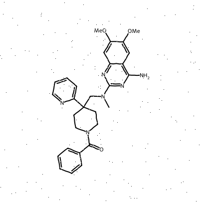 COc1cc2nc(N(C)CC3(c4ccccn4)CCN(C(=O)c4ccccc4)CC3)nc(N)c2cc1OC